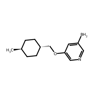 Bc1cncc(OC[C@H]2CC[C@H](C)CC2)c1